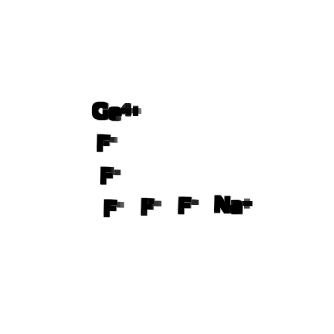 [F-].[F-].[F-].[F-].[F-].[Ge+4].[Na+]